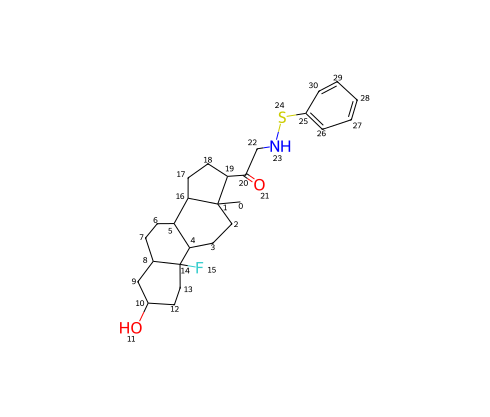 CC12CCC3C(CCC4CC(O)CCC43F)C1CCC2C(=O)CNSc1ccccc1